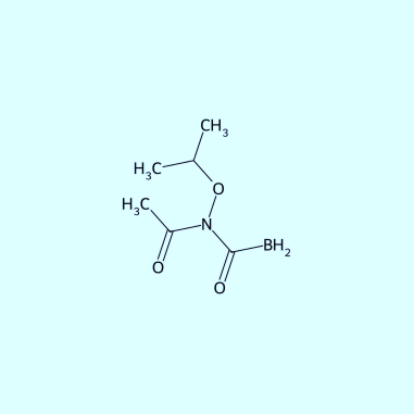 BC(=O)N(OC(C)C)C(C)=O